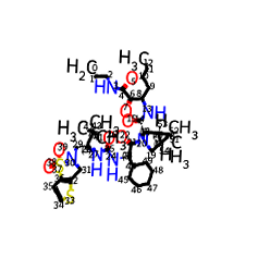 C=CCNC(=O)C(=O)C(CCCC)NC(=O)[C@@H]1[C@@H]2[C@H](CN1C(=O)[C@@H](NC(=O)N[C@H](CN1Cc3sccc3S1(=O)=O)C(C)(C)C)C1CCCCC1)C2(C)C